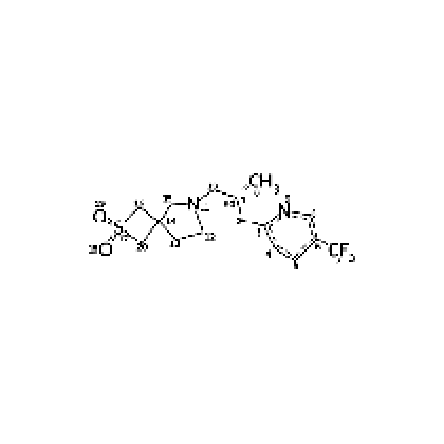 C[C@H](Cc1ccc(C(F)(F)F)cn1)CN1CCC2(C1)CS(=O)(=O)C2